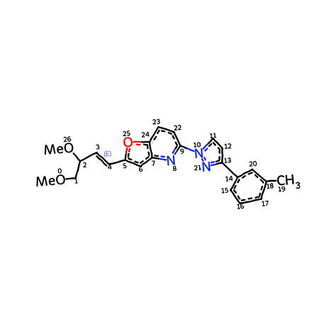 COCC(/C=C/c1cc2nc(-n3ccc(-c4cccc(C)c4)n3)ccc2o1)OC